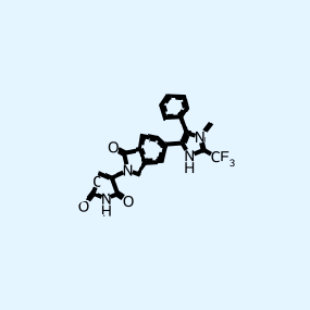 CN1C(c2ccccc2)=C(c2ccc3c(c2)CN(C2CCC(=O)NC2=O)C3=O)NC1C(F)(F)F